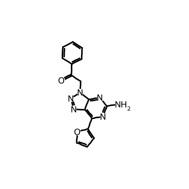 Nc1nc(-c2ccco2)c2nnn(CC(=O)c3ccccc3)c2n1